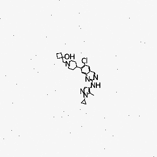 Cc1c(Nc2ncc3cc(Cl)c(C4CCN(CC5(O)CCC5)CC4)cc3n2)cnn1C1CC1